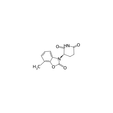 Cc1cccc2c1oc(=O)n2[C@@H]1CCC(=O)NC1=O